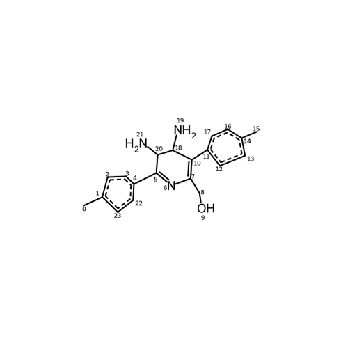 Cc1ccc(C2=NC(CO)=C(c3ccc(C)cc3)C(N)C2N)cc1